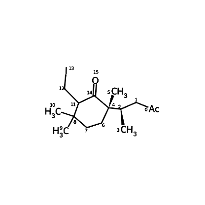 CC(=O)C[C@@H](C)[C@]1(C)CCC(C)(C)C(CI)C1=O